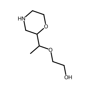 CC(OCCO)C1CNCCO1